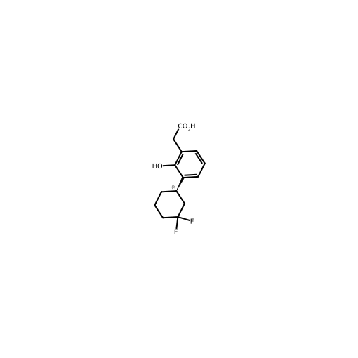 O=C(O)Cc1cccc([C@@H]2CCCC(F)(F)C2)c1O